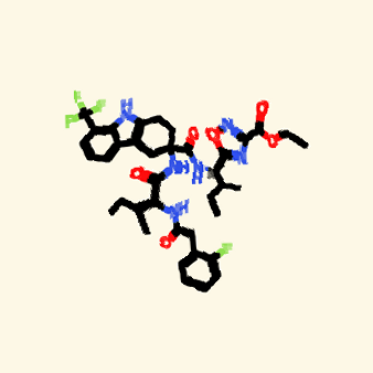 CCOC(=O)c1noc([C@@H](NC(=O)C2(NC(=O)C(NC(=O)Cc3ccccc3F)C(C)CC)CCc3[nH]c4c(C(F)(F)F)cccc4c3C2)C(C)CC)n1